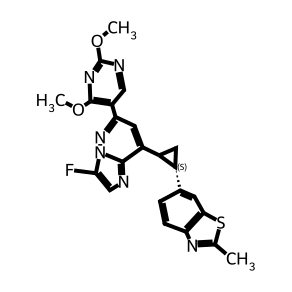 COc1ncc(-c2cc(C3C[C@@H]3c3ccc4nc(C)sc4c3)c3ncc(F)n3n2)c(OC)n1